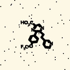 O=C(O)c1cnc(CCc2cccnc2)c(-c2ccc(OC(F)(F)F)cc2)n1